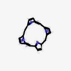 C1=CC2Cc3ccc([nH]3)/C=C3/C=CC(=N3)CC3C=C/C(=C/C1=N2)N3